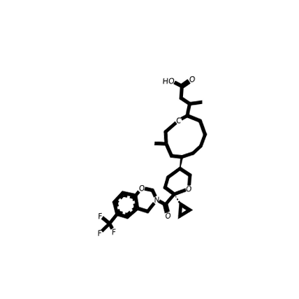 CC1CCC(C(C)CC(=O)O)CCCCC([C@@H]2CC[C@@](C(=O)N3COc4ccc(C(F)(F)F)cc4C3)(C3CC3)OC2)C1